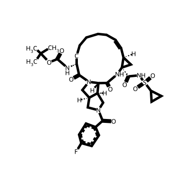 CC(C)(C)OC(=O)N[C@@H]1CCCCC/C=C\[C@H]2C[C@@]2(C(=O)NS(=O)(=O)C2CC2)NC(=O)[C@@H]2[C@H]3CN(C(=O)c4ccc(F)cc4)C[C@H]3CN2C1=O